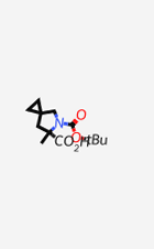 CC(C)(C)OC(=O)N1CC2(CC2)CC1(C)C(=O)O